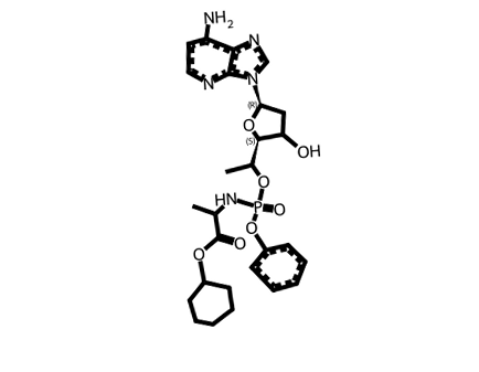 CC(NP(=O)(Oc1ccccc1)OC(C)[C@H]1O[C@@H](n2cnc3c(N)ccnc32)CC1O)C(=O)OC1CCCCC1